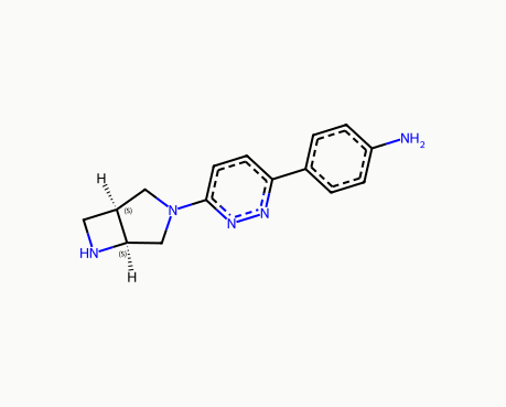 Nc1ccc(-c2ccc(N3C[C@@H]4CN[C@@H]4C3)nn2)cc1